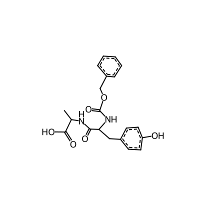 CC(NC(=O)C(Cc1ccc(O)cc1)NC(=O)OCc1ccccc1)C(=O)O